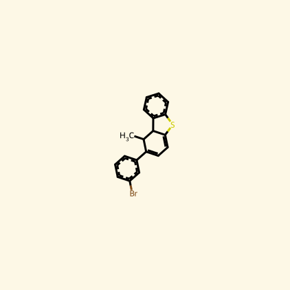 CC1C(c2cccc(Br)c2)=CC=C2Sc3ccccc3C21